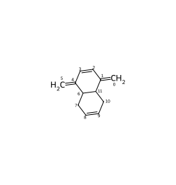 C=C1C=CC(=C)C2CC=CCC12